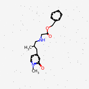 CC(CNCC(=O)OCc1ccccc1)Cc1ccn(C)c(=O)c1